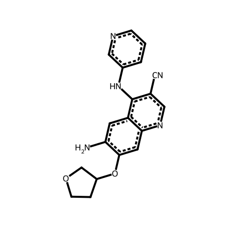 N#Cc1cnc2cc(OC3CCOC3)c(N)cc2c1Nc1cccnc1